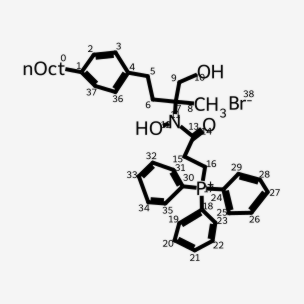 CCCCCCCCc1ccc(CCC(C)(CO)N(O)C(=O)CC[P+](c2ccccc2)(c2ccccc2)c2ccccc2)cc1.[Br-]